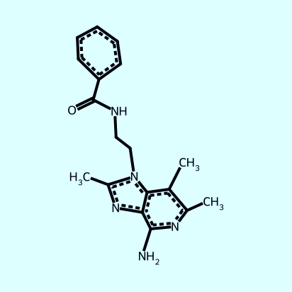 Cc1nc(N)c2nc(C)n(CCNC(=O)c3ccccc3)c2c1C